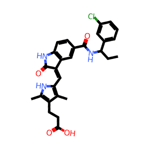 CCC(NC(=O)c1ccc2c(c1)/C(=C/c1[nH]c(C)c(CCC(=O)O)c1C)C(=O)N2)c1cccc(Cl)c1